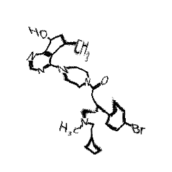 CC1C[C@H](O)c2ncnc(N3CCN(C(=O)[C@H](CN(C)CC4CC4)c4ccc(Br)cc4)CC3)c21